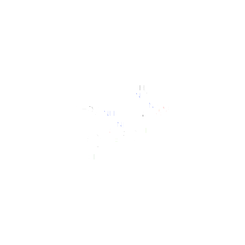 O=C(O)NC(C(=O)Nc1c(F)ccc(F)c1CC[C@H]1CN[C@@H]2CCCS(=O)(=O)N1C2)C(c1ccc(Cl)cc1)C1CCOCC1